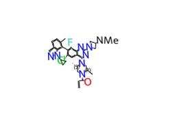 C=CC(=O)N1C[C@H](C)N(c2nc(N3CC(NC)C3)nc3c(F)c(-c4c(C)ccc5cnn(C6CC6)c45)c(Cl)cc23)C[C@H]1C